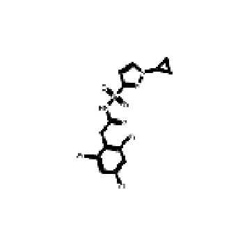 CC(C)c1cc(Cl)cc(C(C)C)c1CC(=O)NS(=O)(=O)c1ccn(C2CC2)n1